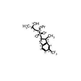 CCCN(C[C@H](C)O)S(=O)(=O)C1Sc2ccc(C(F)(F)F)cc2C1C